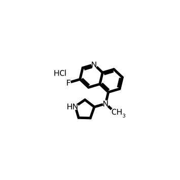 CN(c1cccc2ncc(F)cc12)C1CCNC1.Cl